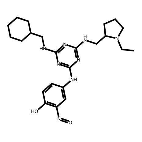 CCN1CCCC1CNc1nc(NCC2CCCCC2)nc(Nc2ccc(O)c(N=O)c2)n1